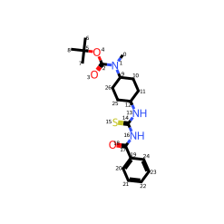 CN(C(=O)OC(C)(C)C)C1CCC(NC(=S)NC(=O)c2ccccc2)CC1